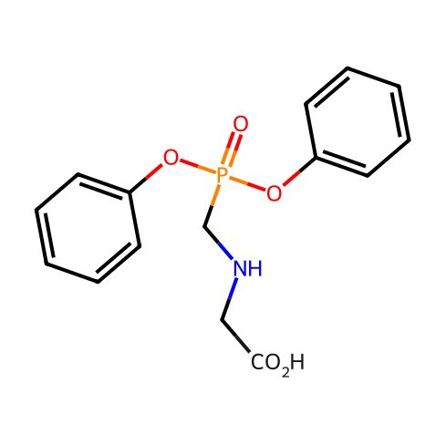 O=C(O)CNCP(=O)(Oc1ccccc1)Oc1ccccc1